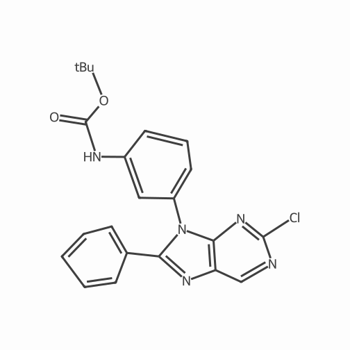 CC(C)(C)OC(=O)Nc1cccc(-n2c(-c3ccccc3)nc3cnc(Cl)nc32)c1